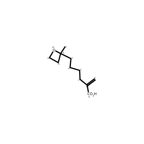 C=C(CCCCC1(C)CCO1)C(=O)O